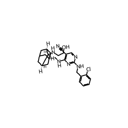 N#Cc1cnc(NCc2ccccc2Cl)nc1NC[C@@]12CC3C[C@H](C1)[C@@H](NCCO)[C@@H](C3)C2